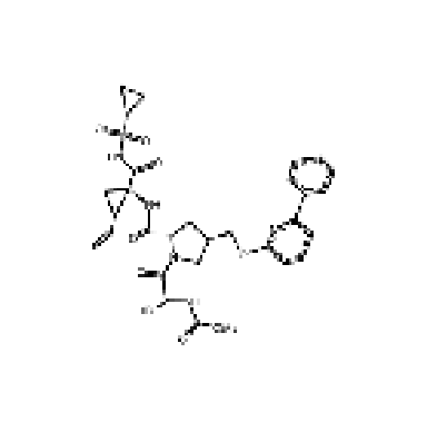 C=C[C@H]1C[C@]1(NC(=O)[C@@H]1C[C@@H](COc2cccc(-c3ccccc3)n2)CN1C(=O)[C@@H](NC(=O)OC)C(C)(C)C)C(=O)NS(=O)(=O)C1CC1